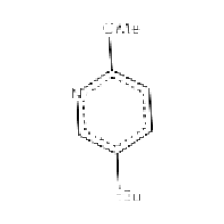 COc1ccc(C(C)(C)C)cn1